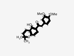 COc1ccc(CC(=O)c2ccc3c(c2O)C=CC(C)(C)O3)cc1OC